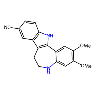 COc1cc2c(cc1OC)-c1[nH]c3ccc(C#N)cc3c1CCN2